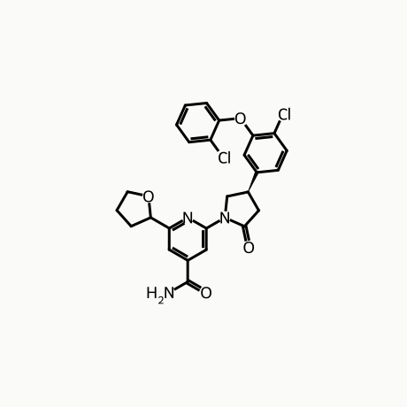 NC(=O)c1cc(C2CCCO2)nc(N2C[C@@H](c3ccc(Cl)c(Oc4ccccc4Cl)c3)CC2=O)c1